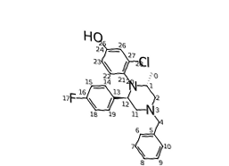 C[C@@H]1CN(Cc2ccccc2)C[C@@H](c2ccc(F)cc2)N1c1ccc(O)cc1Cl